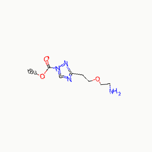 CC(C)(C)OC(=O)n1cnc(CCOCCN)n1